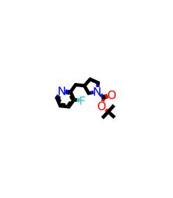 CC(C)(C)OC(=O)N1CCC(Cc2ncccc2F)C1